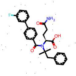 CC(C)(Cc1ccccc1)N(C(=O)c1ccc(-c2cccc(F)c2)cc1)[C@@H](CCC(N)=O)C(=O)O